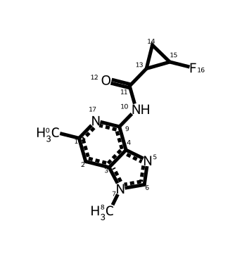 Cc1cc2c(ncn2C)c(NC(=O)C2CC2F)n1